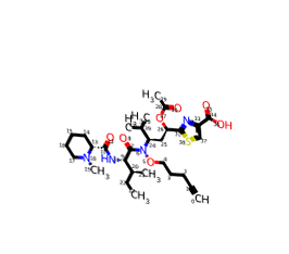 C#CCCCON(C(=O)[C@@H](NC(=O)[C@H]1CCCCN1C)[C@@H](C)CC)[C@H](C[C@@H](OC(C)=O)c1nc(C(=O)O)cs1)C(C)C